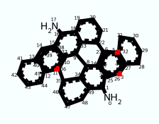 Nc1c2ccccc2c(-c2c3ccccc3c(N)c3cccc(-c4cccc5ccccc45)c23)c2c(-c3cccc4ccccc34)cccc12